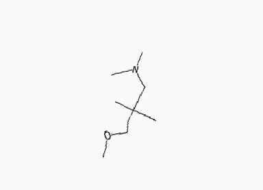 COCC(C)(C)CN(C)C